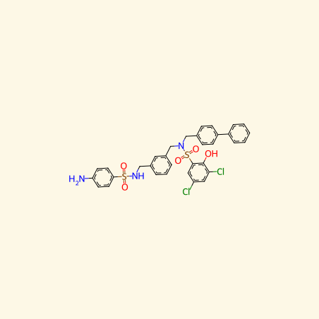 Nc1ccc(S(=O)(=O)NCc2cccc(CN(Cc3ccc(-c4ccccc4)cc3)S(=O)(=O)c3cc(Cl)cc(Cl)c3O)c2)cc1